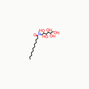 CCCCCCCCCCCC(=O)N(C)CC(O)C(O)C(O)C(O)CO